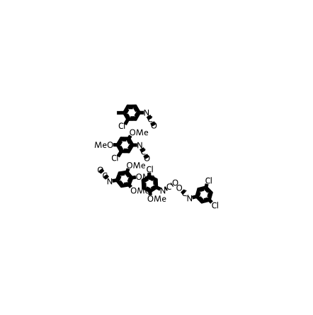 COc1cc(N=C=O)cc(OC)c1OC.COc1cc(OC)c(N=C=O)cc1Cl.COc1ccc(Cl)cc1N=C=O.Cc1ccc(N=C=O)cc1Cl.O=C=Nc1cc(Cl)cc(Cl)c1